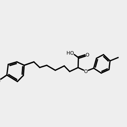 Cc1ccc(OC(CCCCCCc2ccc(Cl)cc2)C(=O)O)cc1